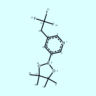 CC1(C)OB(c2cncc(CC(F)(F)F)c2)OC1(C)C